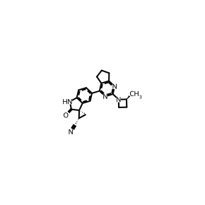 C[C@H]1CCN1c1nc2c(c(-c3ccc4c(c3)[C@]3(C[C@@H]3C#N)C(=O)N4)n1)CCC2